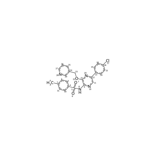 Cc1ccc(S(=O)(=O)Nc2ncc(-c3ccc(Cl)cc3)nc2OCc2cccnc2)cc1